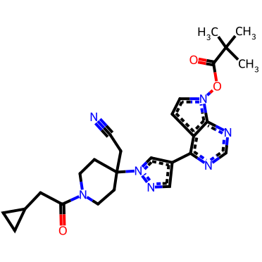 CC(C)(C)C(=O)On1ccc2c(-c3cnn(C4(CC#N)CCN(C(=O)CC5CC5)CC4)c3)ncnc21